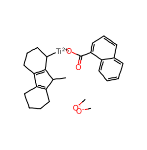 CC1C2=C(CCCC2)C2=C1[CH]([Ti+2][O]C(=O)c1cccc3ccccc13)CCC2.C[O-].C[O-]